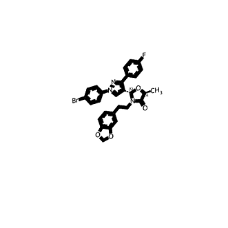 C[C@@H]1O[C@@H](c2cn(-c3ccc(Br)cc3)nc2-c2ccc(F)cc2)N(CCc2ccc3c(c2)OCO3)C1=O